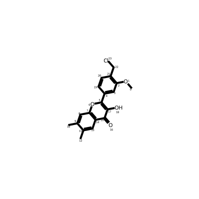 COc1cc(-c2oc3cc(C)c(C)cc3c(=O)c2O)ccc1CCl